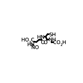 O=NNC(CCC(=O)NC(CS)C(=O)NCC(=O)O)C(=O)O